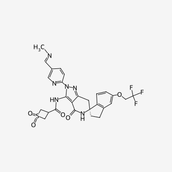 C/N=C/c1ccc(-n2nc3c(c2NC(=O)C2CS(=O)(=O)C2)C(=O)N[C@@]2(CCc4cc(OCC(F)(F)F)ccc42)C3)nc1